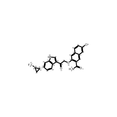 NC(=O)c1cc2cc(Cl)ccc2cc1OCC(=O)c1c[nH]c2cc([C@@H]3C[C@H]3C(F)(F)F)ccc12